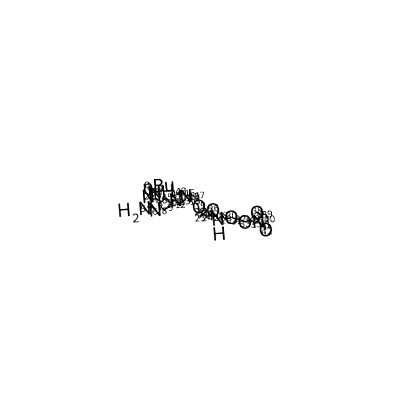 CCCCc1nc2c(N)nc3ccc(N4CCN(CC(C)COCC(C)(C)CC(=O)NCCOCCOCCN5C(=O)C=CC5=O)CC4)cc3c2[nH]1